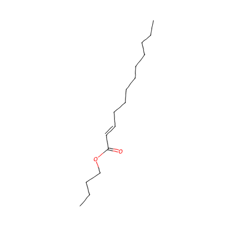 CCCCCCCCCC=CC(=O)OCCCC